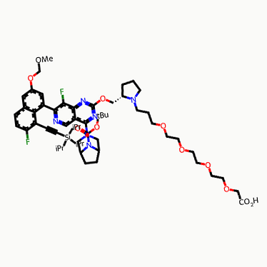 COCOc1cc(-c2ncc3c(N4CC5CCC(C4)N5C(=O)OC(C)(C)C)nc(OC[C@@H]4CCCN4CCCOCCOCCOCCOCC(=O)O)nc3c2F)c2c(C#C[Si](C(C)C)(C(C)C)C(C)C)c(F)ccc2c1